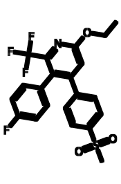 CCOc1cc(-c2ccc(S(C)(=O)=O)cc2)c(-c2ccc(F)cc2)c(C(F)(F)F)n1